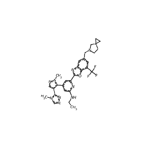 CCNc1cc(-c2c(-c3nncn3C)cnn2C)cc(-c2nc3cc(CN4CCC5(CC5)C4)cc(C(F)(F)F)c3o2)n1